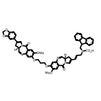 COc1cc2c(cc1OCCCOc1cc3c(cc1OC)C(=O)N1C=C(c4ccc5c(c4)OCO5)C[C@H]1C=N3)N=C[C@@H]1CC(/C=C/CN(CC3c4ccccc4-c4ccccc43)C(=O)O)=CN1C2=O